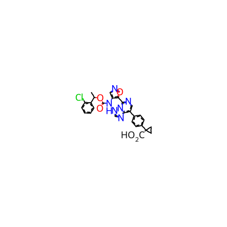 CC(OC(=O)Nc1cnoc1-c1ncc(-c2ccc(C3(C(=O)O)CC3)cc2)c2ncnn12)c1ccccc1Cl